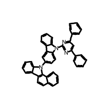 c1ccc(-c2cc(-c3ccccc3)nc(-n3c4ccccc4c4cc(-n5c6ccccc6c6ccc7ccccc7c65)ccc43)n2)cc1